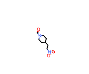 O=CN1CCC(CC[N+](=O)[O-])CC1